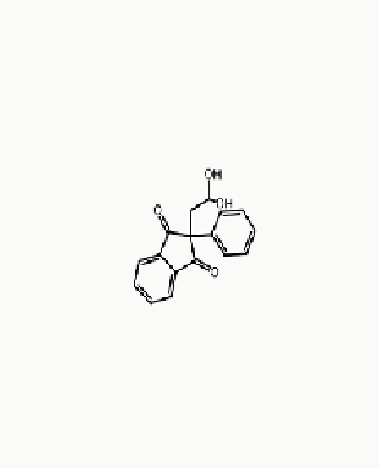 O=C1c2ccccc2C(=O)C1(CC(O)O)c1ccccc1